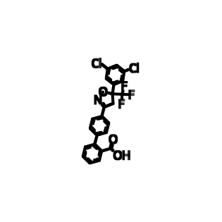 O=C(O)c1ccccc1-c1ccc(C2=NOC(c3cc(Cl)cc(Cl)c3)(C(F)(F)F)C2)cc1